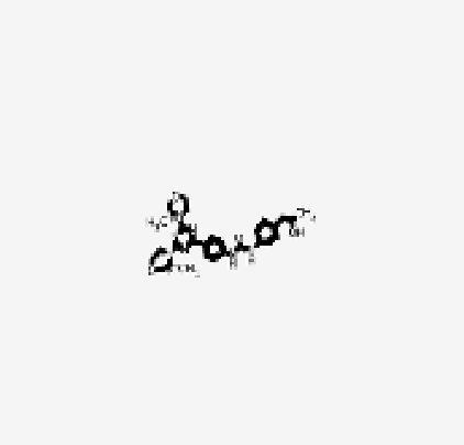 CC(O)Cc1ccc(NC(=O)Nc2ccc(-c3nc(N4CCOC[C@H]4C)nc(N4CCOC[C@H]4C)n3)cc2)cc1